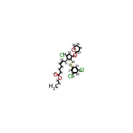 C=CCOC(=O)CCC/C=C\C[C@@H]1[C@@H](CSc2cc(Cl)cc(Cl)c2)[C@H](OC2CCCCO2)C[C@H]1Cl